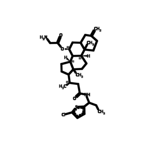 C=C1CCC2(C)C(C1)C[C@@H](OC(=O)CN)C1[C@@H]2CCC2(C)C([C@H](C)CC(=O)NC(CC)c3ccc(Cl)s3)CC[C@@H]12